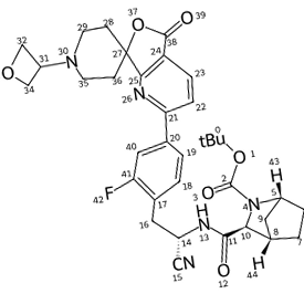 CC(C)(C)OC(=O)N1[C@@H]2CC[C@@H](C2)[C@H]1C(=O)N[C@H](C#N)Cc1ccc(-c2ccc3c(n2)C2(CCN(C4COC4)CC2)OC3=O)cc1F